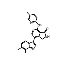 Cc1ccc(Nc2cnc(-c3cnc4c(F)c(C)ccn34)c3c2C(=O)NC3)nc1